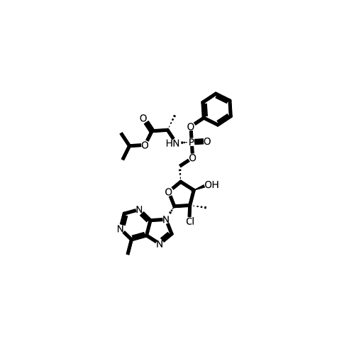 Cc1ncnc2c1ncn2[C@@H]1O[C@H](CO[P@@](=O)(N[C@@H](C)C(=O)OC(C)C)Oc2ccccc2)[C@@H](O)[C@@]1(C)Cl